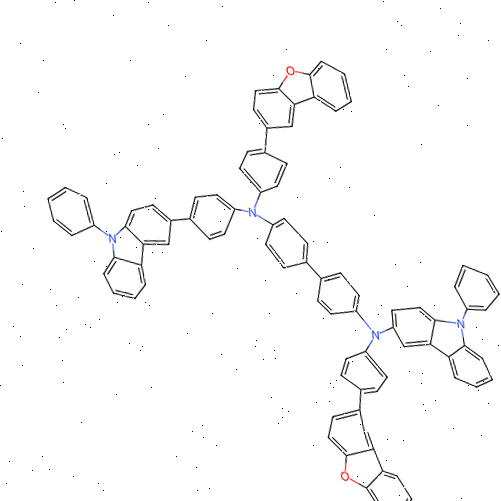 c1ccc(-n2c3ccccc3c3cc(-c4ccc(N(c5ccc(-c6ccc(N(c7ccc(-c8ccc9oc%10ccccc%10c9c8)cc7)c7ccc8c(c7)c7ccccc7n8-c7ccccc7)cc6)cc5)c5ccc(-c6ccc7oc8ccccc8c7c6)cc5)cc4)ccc32)cc1